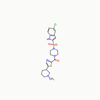 CN1CCCC(c2cnc(C(=O)N3CCN(S(=O)(=O)c4cc5cc(Cl)ccc5[nH]4)CC3)s2)C1